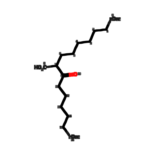 CCCCCCCCCCCCCCCCC(C(=O)O)C(=O)CCCCCCCCCCCCCCC